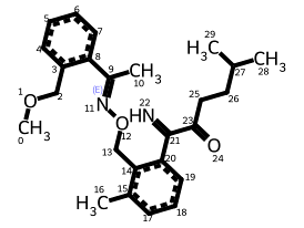 COCc1ccccc1/C(C)=N/OCc1c(C)cccc1C(=N)C(=O)CCC(C)C